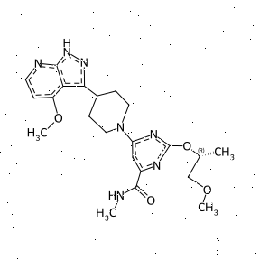 CNC(=O)c1cc(N2CCC(c3n[nH]c4nccc(OC)c34)CC2)nc(O[C@H](C)COC)n1